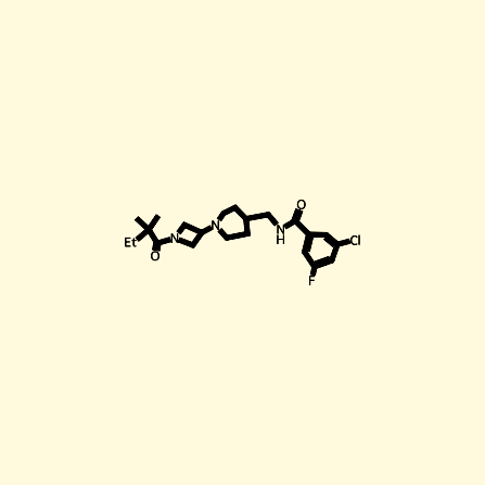 CCC(C)(C)C(=O)N1CC(N2CCC(CNC(=O)c3cc(F)cc(Cl)c3)CC2)C1